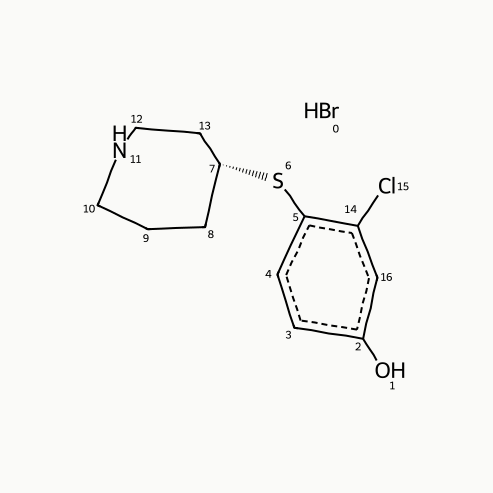 Br.Oc1ccc(S[C@@H]2CCCNCC2)c(Cl)c1